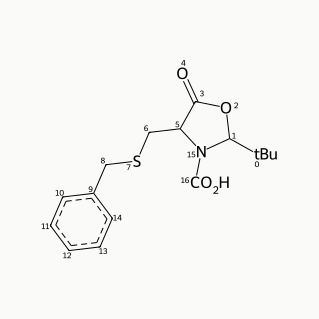 CC(C)(C)C1OC(=O)C(CSCc2ccccc2)N1C(=O)O